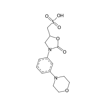 O=C1OC(CS(=O)(=O)O)CN1c1cccc(N2CCOCC2)c1